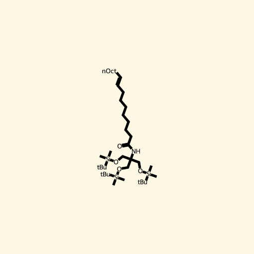 CCCCCCCC/C=C/CCCCCCCC(=O)NC(CO[Si](C)(C)C(C)(C)C)(CO[Si](C)(C)C(C)(C)C)CO[Si](C)(C)C(C)(C)C